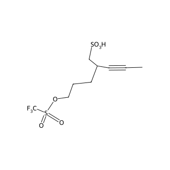 CC#CC(CCCOS(=O)(=O)C(F)(F)F)CS(=O)(=O)O